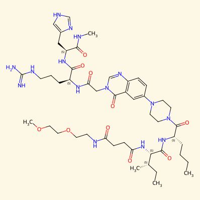 CCCC[C@H](NC(=O)[C@@H](NC(=O)CCC(=O)NCCOCCOC)[C@@H](C)CC)C(=O)N1CCN(c2ccc3ncn(CC(=O)N[C@@H](CCCNC(=N)N)C(=O)N[C@@H](Cc4c[nH]cn4)C(=O)NC)c(=O)c3c2)CC1